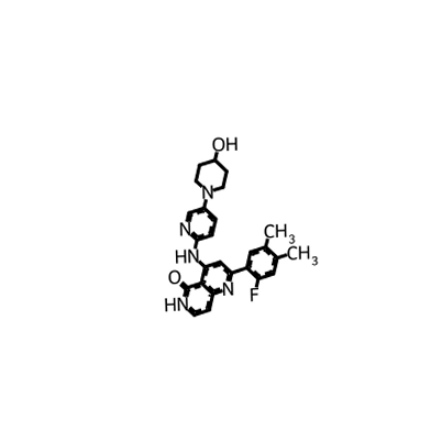 Cc1cc(F)c(-c2cc(Nc3ccc(N4CCC(O)CC4)cn3)c3c(=O)[nH]ccc3n2)cc1C